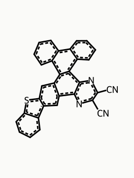 N#Cc1nc2c3cc4c(cc3c3c5ccccc5c5ccccc5c3c2nc1C#N)sc1ccccc14